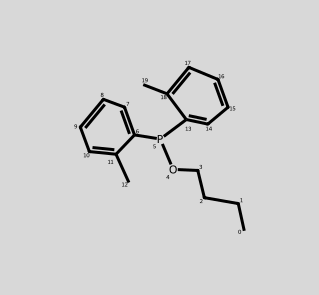 CCCCOP(c1ccccc1C)c1ccccc1C